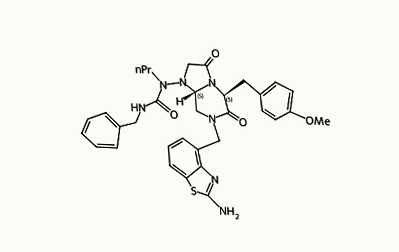 CCCN(C(=O)NCc1ccccc1)N1CC(=O)N2[C@@H](Cc3ccc(OC)cc3)C(=O)N(Cc3cccc4sc(N)nc34)C[C@@H]21